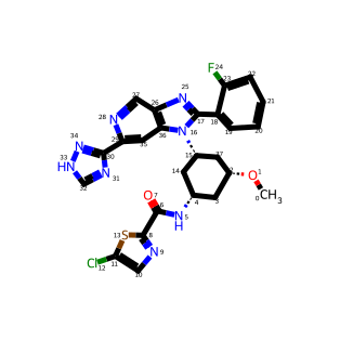 CO[C@@H]1C[C@H](NC(=O)c2ncc(Cl)s2)C[C@H](n2c(-c3ccccc3F)nc3cnc(-c4nc[nH]n4)cc32)C1